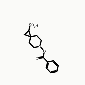 O=C(ON1CCC2(CC1)CC2C(=O)O)c1ccccc1